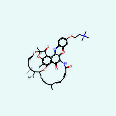 CC(=O)OC1C2CCCC(C)/C=C/C=C\C(=O)Nc3c4oc5cc(OCC[N+](C)(C)C)ccc5nc-4c4c5c(c(C)c(c4c3=O)O2)O[C@](C)(O/C=C/C[C@H]1C)C5=O